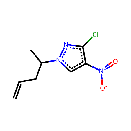 C=CCC(C)n1cc([N+](=O)[O-])c(Cl)n1